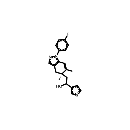 CC1=Cc2c(cnn2-c2ccc(F)cc2)C[C@]1(C)CC(O)c1ccsc1